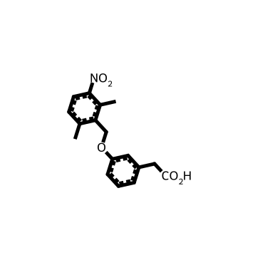 Cc1ccc([N+](=O)[O-])c(C)c1COc1cccc(CC(=O)O)c1